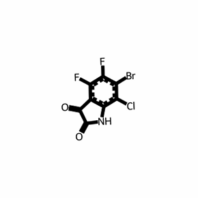 O=C1Nc2c(Cl)c(Br)c(F)c(F)c2C1=O